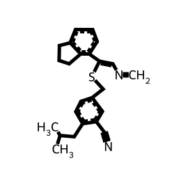 C=N/C=C(\SCc1ccc(CC(C)C)c(C#N)c1)c1cccc2c1CCC2